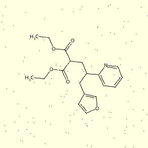 CCOC(=O)C(CC(Cc1ccoc1)c1ccccn1)C(=O)OCC